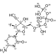 C#CC1(O)[C@H](F)[C@H](n2ccc(N)nc2=O)O[C@@H]1COP(=O)(O)OP(=O)(O)OP(=O)(O)O